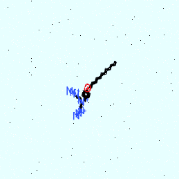 CCCCCCCCCCCCOc1ccc(C[N+](C)(CCN=[N+]=[N-])CCN=[N+]=[N-])cc1